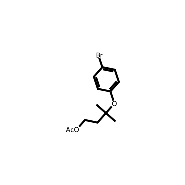 CC(=O)OCCC(C)(C)Oc1ccc(Br)cc1